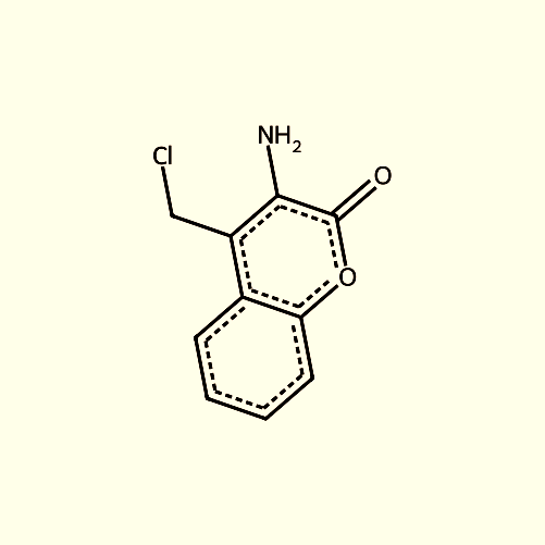 Nc1c(CCl)c2ccccc2oc1=O